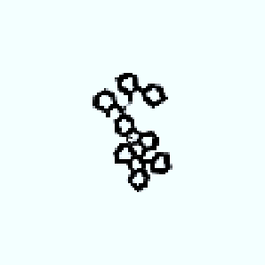 CC1C=CC=CC1[C@H](Cc1ccccc1-c1ccccc1)c1ccc2c(c1)C1=CC=CC(C3(c4ccccc4)c4ccccc4-c4ccccc43)C1S2